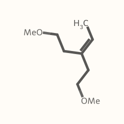 CC=C(CCOC)CCOC